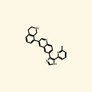 Cc1cccc(-c2[nH]cnc2-c2ccc3ncc(-c4cccc5c4CNCC5)cc3c2)n1